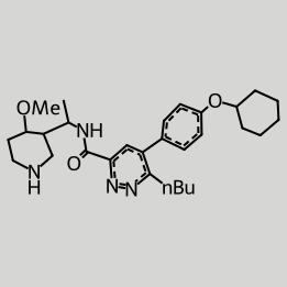 CCCCc1nnc(C(=O)NC(C)C2CNCCC2OC)cc1-c1ccc(OC2CCCCC2)cc1